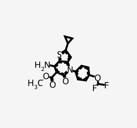 COC(=O)c1c(N)c2sc(C3CC3)cc2n(-c2ccc(OC(F)F)cc2)c1=O